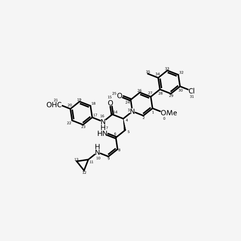 COc1cn([C@@H](CC(=N)/C=C\NC2CC2)C(=O)Nc2ccc(C=O)cc2)c(=O)cc1-c1cc(Cl)ccc1C